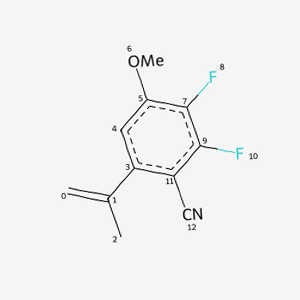 C=C(C)c1cc(OC)c(F)c(F)c1C#N